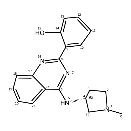 CN1CC[C@@H](Nc2nc(-c3ccccc3O)nc3ccccc23)C1